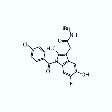 CCC(C)NC(=O)Cc1c(C)n(C(=O)c2ccc(Cl)cc2)c2cc(F)c(O)cc12